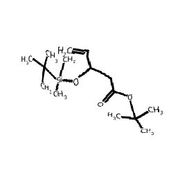 C=CC(CC(=O)OC(C)(C)C)O[Si](C)(C)C(C)(C)C